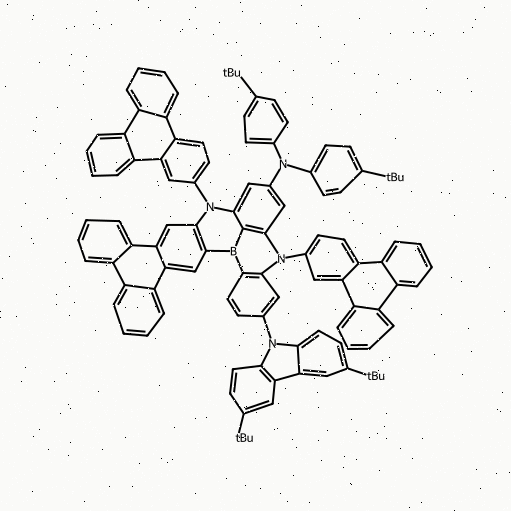 CC(C)(C)c1ccc(N(c2ccc(C(C)(C)C)cc2)c2cc3c4c(c2)N(c2ccc5c6ccccc6c6ccccc6c5c2)c2cc5c6ccccc6c6ccccc6c5cc2B4c2ccc(-n4c5ccc(C(C)(C)C)cc5c5cc(C(C)(C)C)ccc54)cc2N3c2ccc3c4ccccc4c4ccccc4c3c2)cc1